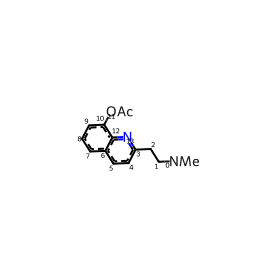 CNCCc1ccc2cccc(OC(C)=O)c2n1